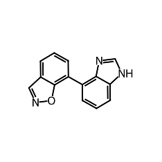 c1cc(-c2cccc3[nH]cnc23)c2oncc2c1